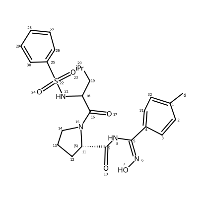 [CH2]c1ccc(C(=NO)NC(=O)[C@@H]2CCCN2C(=O)C(CC(C)C)NS(=O)(=O)c2ccccc2)cc1